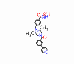 C[C@@H]1CN(C(=O)c2cccc(-c3ccncc3)c2)C[C@H](C)N1Cc1ccc(C(=O)NO)cc1